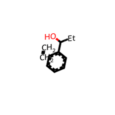 C=C.CCC(O)c1ccccc1